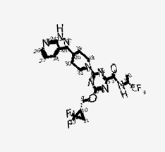 C[C@H](NC(=O)c1nc(OC[C@@H]2CC2(F)F)nc(N2CCC(c3n[nH]c4ncccc34)CC2)n1)C(F)(F)F